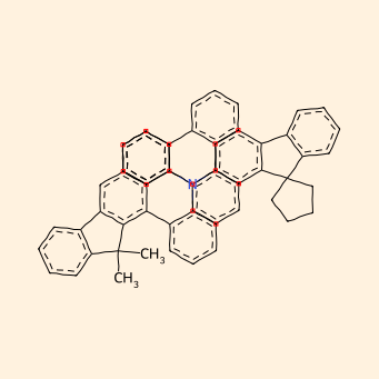 CC1(C)c2ccccc2-c2cccc(-c3ccccc3N(c3ccc4c(c3)C3(CCCC3)c3ccccc3-4)c3ccccc3-c3ccccc3-c3ccccc3-c3ccccc3)c21